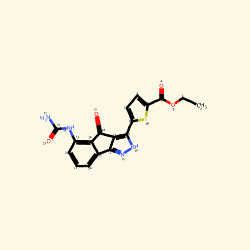 CCOC(=O)c1ccc(-c2[nH]nc3c2C(=O)c2c(NC(N)=O)cccc2-3)s1